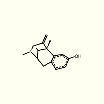 C=C1CN(C)C2Cc3ccc(O)cc3[C@]1(C)C2C